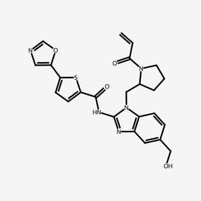 C=CC(=O)N1CCCC1Cn1c(NC(=O)c2ccc(-c3cnco3)s2)nc2cc(CO)ccc21